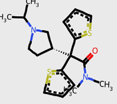 CC(C)N1CC[C@@H](C(C(=O)N(C)C)(c2cccs2)c2cccs2)C1